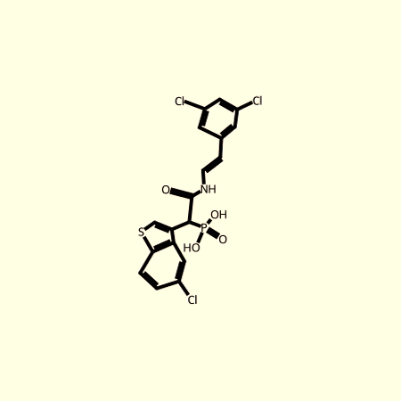 O=C(N/C=C/c1cc(Cl)cc(Cl)c1)C(c1csc2ccc(Cl)cc12)P(=O)(O)O